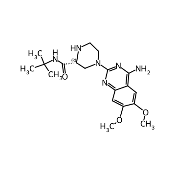 COc1cc2nc(N3CCN[C@@H](C(=O)NC(C)(C)C)C3)nc(N)c2cc1OC